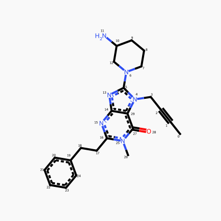 CC#CCn1c(N2CCCC(N)C2)nc2nc(CCc3ccccc3)n(C)c(=O)c21